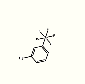 FS(F)(F)(F)(F)c1cccc(S)c1